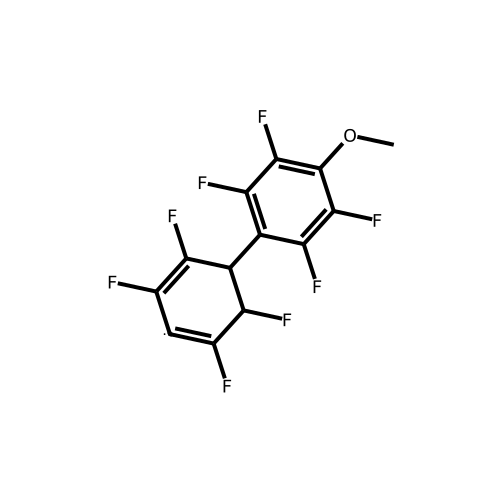 COc1c(F)c(F)c(C2C(F)=C(F)[C]=C(F)C2F)c(F)c1F